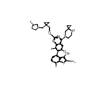 N#Cc1c(N)sc2c(F)ccc(-c3c(Cl)cc4c(N5CCNC6(CC6)C5)nc(OCC5(CN6CC[C@@H](F)C6)CC5)nc4c3F)c12